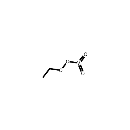 CCO[O][V](=[O])=[O]